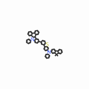 CC1(C)c2ccccc2-c2ccc(N(c3ccccc3)c3ccc4c(c3)sc3ccc(-c5ccc6c(c5)c5c7ccccc7c7ccccc7c5n6-c5ccccc5)cc34)cc21